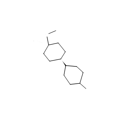 CCCCCCC[C@]1(OCC)CC[C@@H](C2CCC(CCC)CC2)CC1